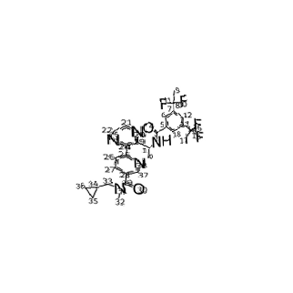 CC(NC(=O)c1cc(C(C)(F)F)cc(C(F)(F)I)c1)c1nccnc1-c1ccc(C(=O)N(C)CC2CC2)cn1